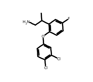 CC(CN)c1cc(F)ccc1Oc1ccc(Cl)c(Cl)c1